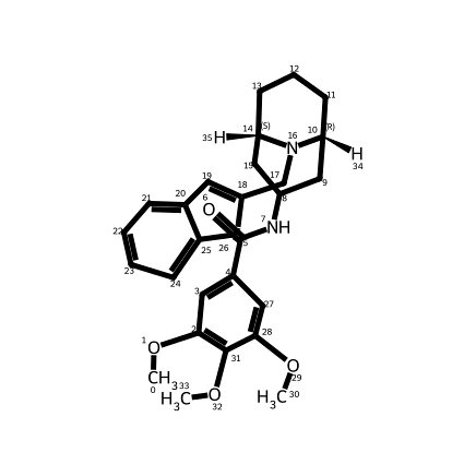 COc1cc(C(=O)NC2C[C@H]3CCC[C@@H](C2)N3Cc2cc3ccccc3s2)cc(OC)c1OC